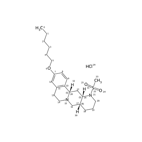 CCCCCCOc1ccc2c(c1)CCN1C[C@H]3CCCN(S(C)(=O)=O)[C@H]3C[C@@H]21.Cl